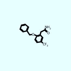 NC(=O)Cc1cc(C(F)(F)F)ccc1OCc1ccccc1